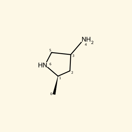 C[C@@H]1CC(N)CN1